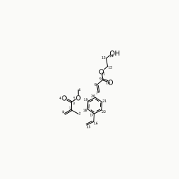 C=C(C)C(=O)OC.C=CC(=O)OCCO.C=Cc1ccccc1